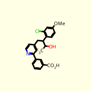 COc1ccc(C(Cc2ccnc(-c3cccc(C(=O)O)c3)c2)C(O)C(F)(F)F)c(Cl)c1